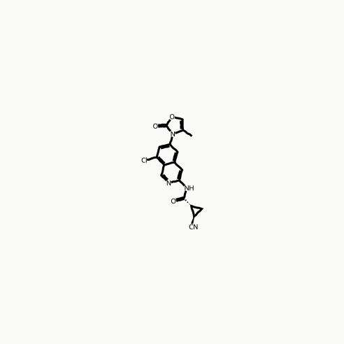 Cc1coc(=O)n1-c1cc(Cl)c2cnc(NC(=O)[C@@H]3C[C@H]3C#N)cc2c1